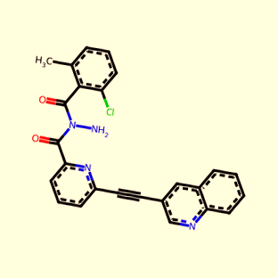 Cc1cccc(Cl)c1C(=O)N(N)C(=O)c1cccc(C#Cc2cnc3ccccc3c2)n1